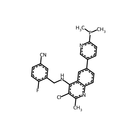 Cc1nc2ccc(-c3ccc(P(C)C)nc3)cc2c(NCc2cc(C#N)ccc2F)c1Cl